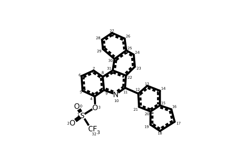 O=S(=O)(Oc1cccc2c1nc(-c1ccc3ccccc3c1)c1ccc3ccccc3c12)C(F)(F)F